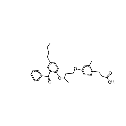 CCCCc1ccc(OC(C)CCOc2ccc(CCC(=O)O)c(C)c2)c(C(=O)c2ccccc2)c1